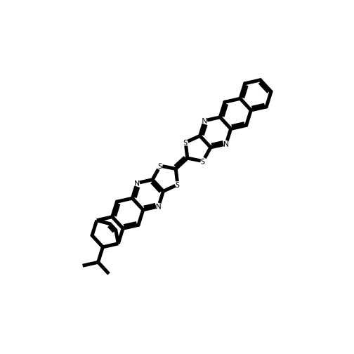 CC(C)C1CC2C=CC1c1cc3nc4c(nc3cc12)SC(=C1Sc2nc3cc5ccccc5cc3nc2S1)S4